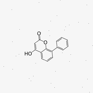 O=c1cc(O)c2cccc(-c3ccccc3)c2o1